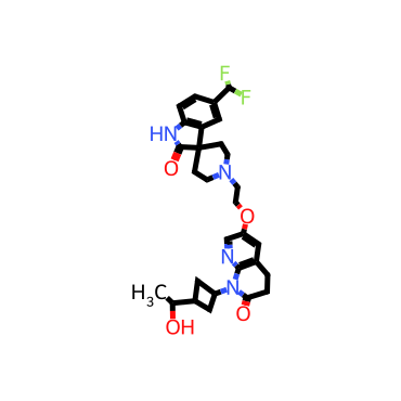 CC(O)C1CC(N2C(=O)CCc3cc(OCCN4CCC5(CC4)C(=O)Nc4ccc(C(F)F)cc45)cnc32)C1